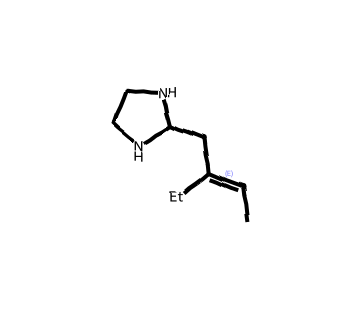 C/C=C(\CC)CC1NCCN1